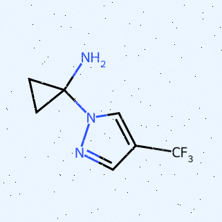 NC1(n2cc(C(F)(F)F)cn2)CC1